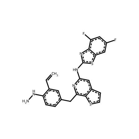 C=Cc1cc(Cc2nc(Nc3nc4c(F)cc(F)cc4s3)cc3ccsc23)ccc1NN